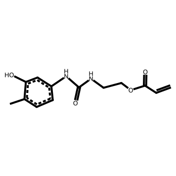 C=CC(=O)OCCNC(=O)Nc1ccc(C)c(O)c1